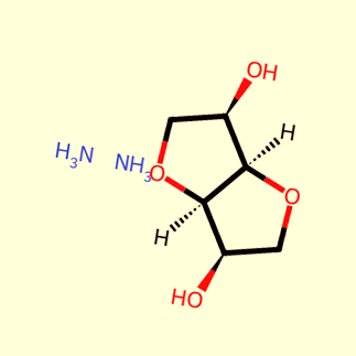 N.N.O[C@@H]1CO[C@H]2[C@@H]1OC[C@H]2O